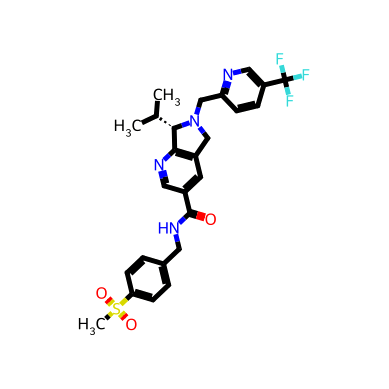 CC(C)[C@H]1c2ncc(C(=O)NCc3ccc(S(C)(=O)=O)cc3)cc2CN1Cc1ccc(C(F)(F)F)cn1